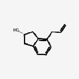 C=CCc1cccc2c1C[C@@H](O)C2